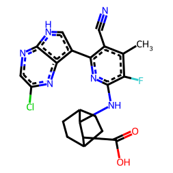 Cc1c(F)c(NC2C3CCC(CC3)C2C(=O)O)nc(-c2c[nH]c3ncc(Cl)nc23)c1C#N